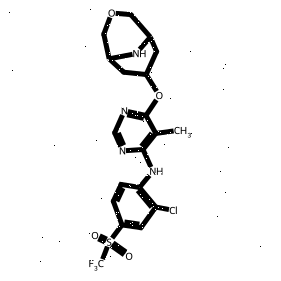 Cc1c(Nc2ccc(S(=O)(=O)C(F)(F)F)cc2Cl)ncnc1OC1CC2COCC(C1)N2